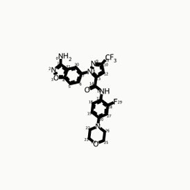 Nc1noc2ccc(-n3nc(C(F)(F)F)cc3C(=O)Nc3ccc(N4CCOCC4)cc3F)cc12